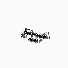 Cc1cc(N=Nc2c(C)c(C#N)c3nc4c(S(=O)(=O)O)cc(CO)cc4n3c2O)c(OCCCS(=O)(=O)O)cc1N=Nc1cc(Cl)c(N=Nc2nc3c(S(=O)(=O)O)cc4ccc(S(=O)(=O)O)cc4c3s2)cc1SCCCS(=O)(=O)O